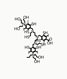 CCC[N+](CCO)(CCO)c1c(I)c(S)c(CN(CCS)CCN(CCN(CCS)Cc2c(S)c(I)c([N+](CCO)(CCO)CCO)c(I)c2S)Cc2c(S)c(I)c(C(=O)O)c(I)c2S)c(S)c1I